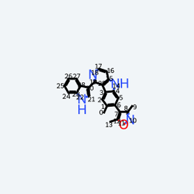 Cc1cc2c(cc1-c1c(C)noc1C)[nH]c1ccnc(-c3c[nH]c4ccccc34)c12